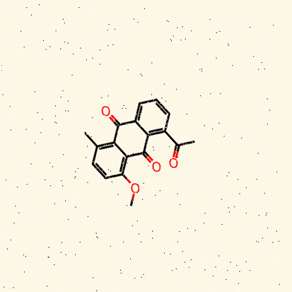 COc1ccc(C)c2c1C(=O)c1c(C(C)=O)cccc1C2=O